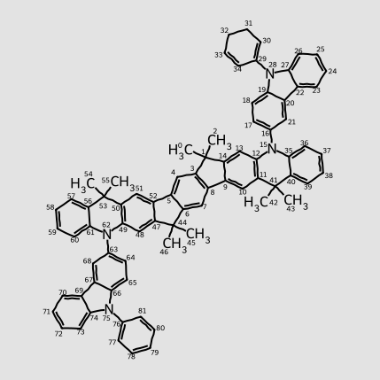 CC1(C)c2cc3c(cc2-c2cc4c(cc21)N(c1ccc2c(c1)c1ccccc1n2C1=CCCC=C1)c1ccccc1C4(C)C)C(C)(C)c1cc2c(cc1-3)C(C)(C)c1ccccc1N2c1ccc2c(c1)c1ccccc1n2-c1ccccc1